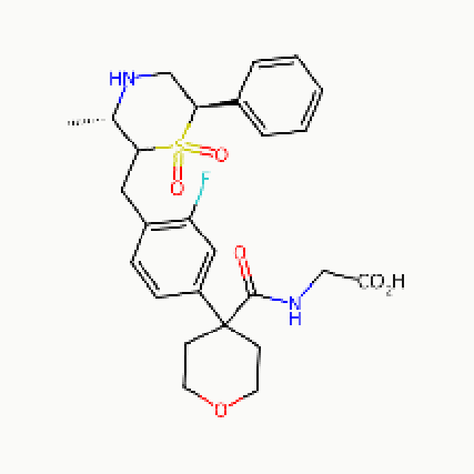 C[C@@H]1NC[C@@H](c2ccccc2)S(=O)(=O)C1Cc1ccc(C2(C(=O)NCC(=O)O)CCOCC2)cc1F